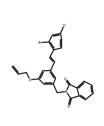 C=CCOc1cc(C=Cc2ccc(Cl)cc2Br)cc(CN2C(=O)c3ccccc3C2=O)c1